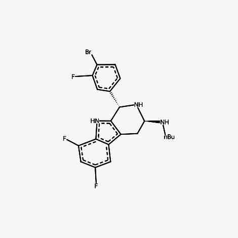 CCCCN[C@H]1Cc2c([nH]c3c(F)cc(F)cc23)[C@H](c2ccc(Br)c(F)c2)N1